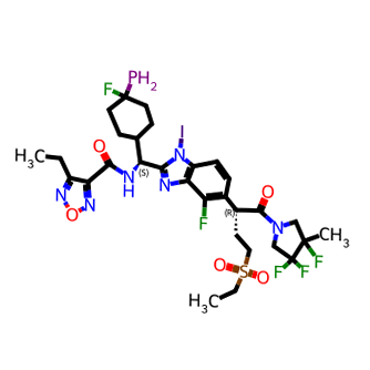 CCc1nonc1C(=O)N[C@H](c1nc2c(F)c([C@@H](CCS(=O)(=O)CC)C(=O)N3CC(C)(F)C(F)(F)C3)ccc2n1I)C1CCC(F)(P)CC1